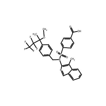 COC(C)(c1ccc(CN(c2ncc3ccccc3c2C)S(=O)(=O)c2ccc(C(=O)O)cc2)cc1)C(F)(F)C(F)(F)F